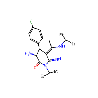 CCC(CC)N/C(C)=C1\C(=N)N(C(CC)CC)C(=O)[C@@H](N)[C@H]1c1ccc(F)cc1